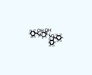 OC(CN1CC[C@@H](CCOC(c2ccccc2)c2ccccc2)C(O)C1)c1ccccc1